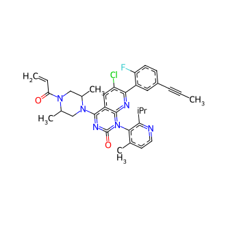 C=CC(=O)N1CC(C)N(c2nc(=O)n(-c3c(C)ccnc3C(C)C)c3nc(-c4cc(C#CC)ccc4F)c(Cl)cc23)CC1C